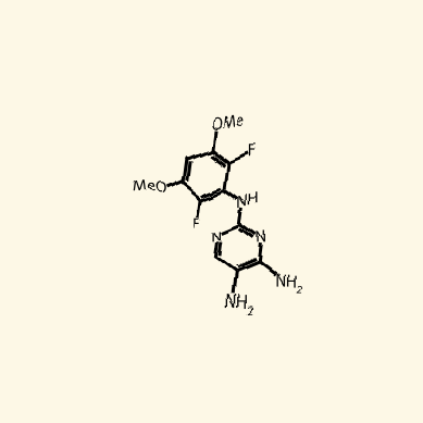 COc1cc(OC)c(F)c(Nc2ncc(N)c(N)n2)c1F